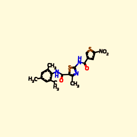 Cc1cc(C)c(NC(=O)c2sc(NC(=O)c3csc([N+](=O)[O-])c3)nc2C)c(C)c1